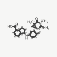 CN1C(=O)C2(C)C[C@]2(c2cc(NC3CCc4c(C(=O)O)cccc43)ccc2F)N=C1N